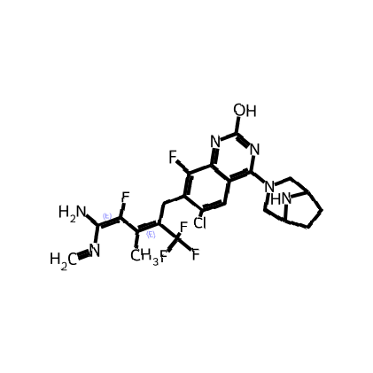 C=N/C(N)=C(F)\C(C)=C(/Cc1c(Cl)cc2c(N3CC4CCC(C3)N4)nc(O)nc2c1F)C(F)(F)F